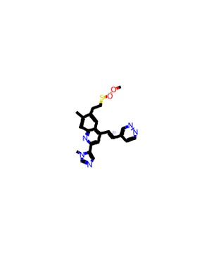 COOSCCc1cc2c(/C=C/c3ccnnc3)cc(-c3cncn3C)nc2cc1C